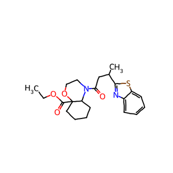 CCOC(=O)C12CCCCC1N(C(=O)CC(C)c1nc3ccccc3s1)CCO2